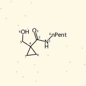 CCCCCNC(=O)C1(CO)CC1